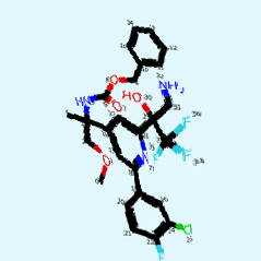 COCC(C)(NC(=O)OCc1ccccc1)c1cc(-c2ccc(F)c(Cl)c2)nc(C(O)(CN)C(F)(F)F)c1